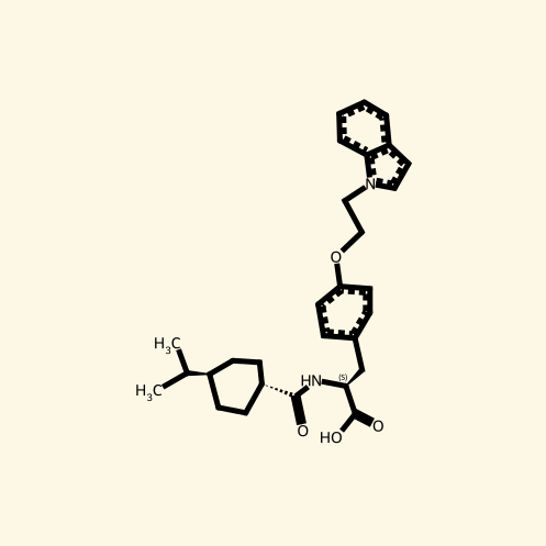 CC(C)[C@H]1CC[C@H](C(=O)N[C@@H](Cc2ccc(OCCn3ccc4ccccc43)cc2)C(=O)O)CC1